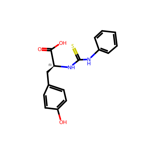 O=C(O)[C@H](Cc1ccc(O)cc1)NC(=S)Nc1ccccc1